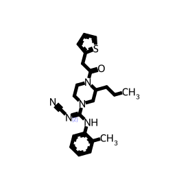 CCCC1CN(/C(=N\C#N)Nc2ccccc2C)CCN1C(=O)Cc1cccs1